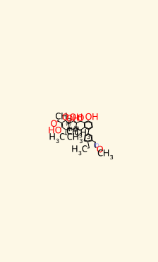 CCc1ccc(-c2ccc(O)c3c2C[C@]2(C)C[C@]4(C)C(C(C)C)C(O)=C(C(C)=O)C(=O)[C@]4(O)C(O)=C2C3=O)cc1/C=C/OC